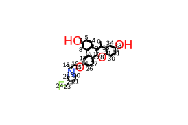 CC1=C(c2ccc(O)cc2)C(c2ccc(OC[C@H](C)N3CC[C@@H](CF)C3)cc2)Oc2ccc(O)cc21